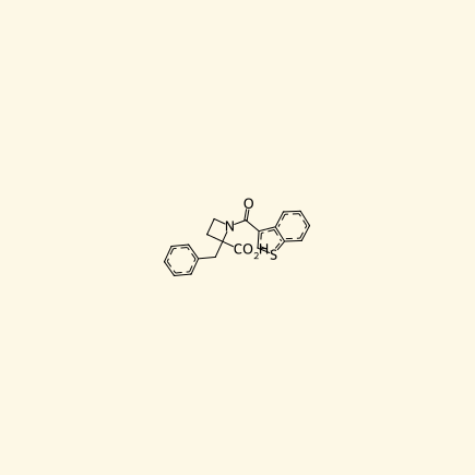 O=C(c1csc2ccccc12)N1CCC1(Cc1ccccc1)C(=O)O